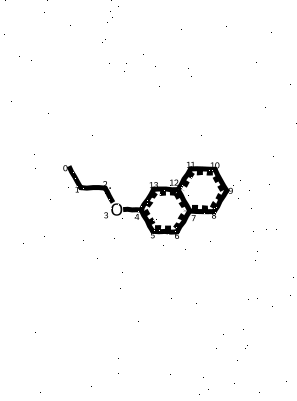 CC[CH]Oc1ccc2ccccc2c1